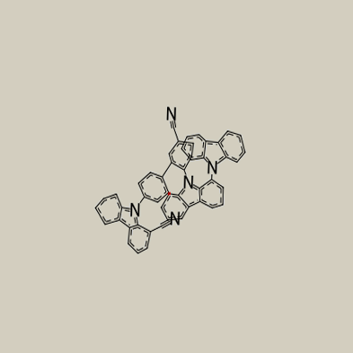 N#Cc1ccc(-n2c3ccccc3c3cccc(-n4c5ccccc5c5ccccc54)c32)c(-c2ccc(-n3c4ccccc4c4cccc(C#N)c43)cc2)c1